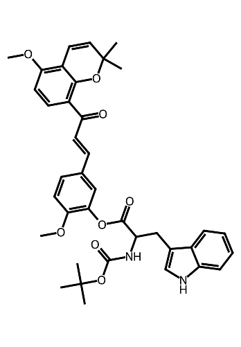 COc1ccc(/C=C/C(=O)c2ccc(OC)c3c2OC(C)(C)C=C3)cc1OC(=O)C(Cc1c[nH]c2ccccc12)NC(=O)OC(C)(C)C